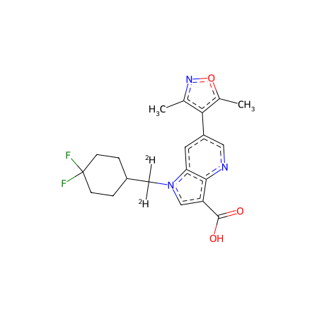 [2H]C([2H])(C1CCC(F)(F)CC1)n1cc(C(=O)O)c2ncc(-c3c(C)noc3C)cc21